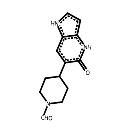 O=CN1CCC(c2cc3[nH]ccc3[nH]c2=O)CC1